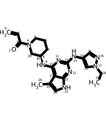 C=CC(=O)N1CCC[C@@H](Nc2nc(Nc3cnn(CC)c3)nc3[nH]cc(C)c23)C1